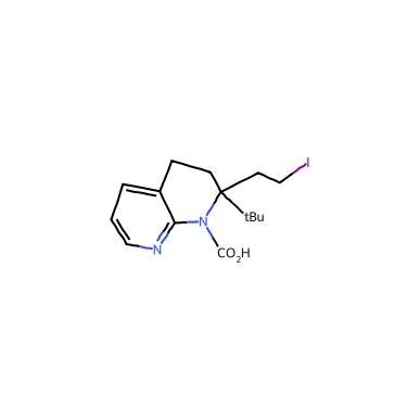 CC(C)(C)C1(CCI)CCc2cccnc2N1C(=O)O